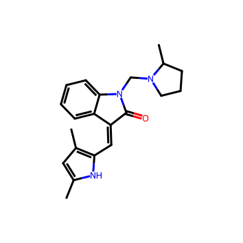 Cc1cc(C)c(C=C2C(=O)N(CN3CCCC3C)c3ccccc32)[nH]1